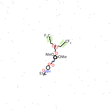 CCC(C)(C)C(=O)N[C@H]1CC[C@H](OC(=O)/C=C/c2cc(OC)c(OCCCC(C)(OCCC(F)(F)C(F)(F)C(F)(F)C(F)(F)F)OCCC(F)(F)C(F)(F)C(F)(F)C(F)(F)F)c(OC)c2)CC1